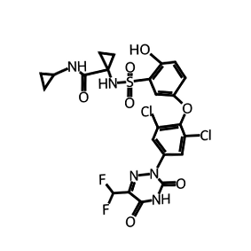 O=C(NC1CC1)C1(NS(=O)(=O)c2cc(Oc3c(Cl)cc(-n4nc(C(F)F)c(=O)[nH]c4=O)cc3Cl)ccc2O)CC1